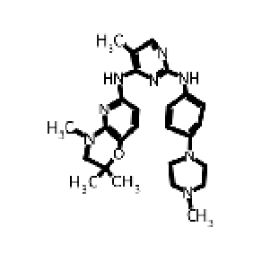 Cc1cnc(Nc2ccc(N3CCN(C)CC3)cc2)nc1Nc1ccc2c(n1)N(C)CC(C)(C)O2